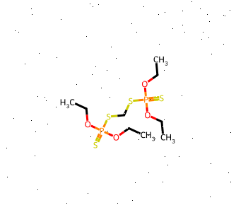 CCOP(=S)(OCC)SCSP(=S)(OCC)OCC